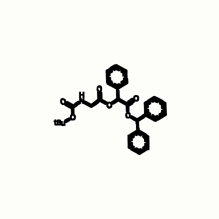 CC(C)(C)OC(=O)NCC(=O)OC(C(=O)OC(c1ccccc1)c1ccccc1)c1ccccc1